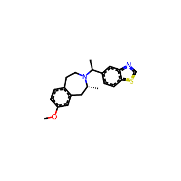 COc1ccc2c(c1)C[C@@H](C)N([C@@H](C)c1ccc3scnc3c1)CC2